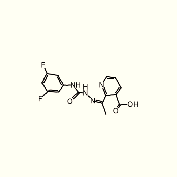 CC(=NNC(=O)Nc1cc(F)cc(F)c1)c1ncccc1C(=O)O